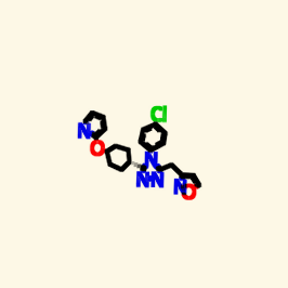 Clc1ccc(-n2c(Cc3ccon3)nnc2[C@H]2CC[C@H](Oc3ccccn3)CC2)cc1